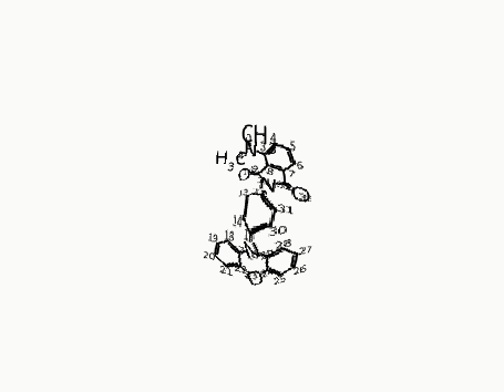 CN(C)c1cccc2c1C(=O)N(c1ccc(N3c4ccccc4Oc4ccccc43)cc1)C2=O